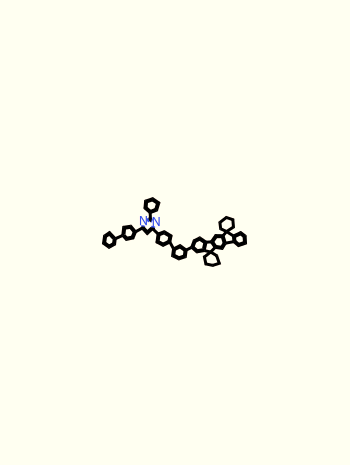 c1ccc(-c2ccc(-c3cc(-c4ccc(-c5cccc(-c6ccc7c(c6)C6(CCCCC6)c6cc8c(cc6-7)C6(CCCCC6)c6ccccc6-8)c5)cc4)nc(-c4ccccc4)n3)cc2)cc1